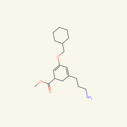 COC(=O)C1C=C(OCC2CCCCC2)C=C(CCCN)C1